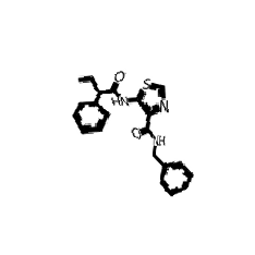 CCC(C(=O)Nc1scnc1C(=O)NCc1ccccc1)c1ccccc1